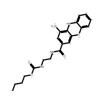 CCCCOC(=O)NCCNC(=O)c1cc(N)c2c(c1)Sc1ccccc1N2